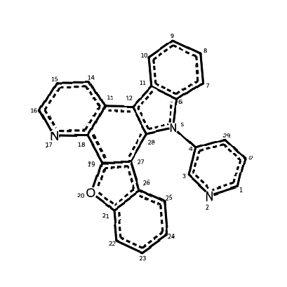 c1cncc(-n2c3ccccc3c3c4cccnc4c4oc5ccccc5c4c32)c1